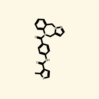 Cc1sccc1C(=O)Nc1ccc(C(=O)N2Cc3ccnn3Cc3ccccc32)cc1